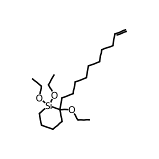 C=CCCCCCCCCC1(OCC)CCCC[Si]1(OCC)OCC